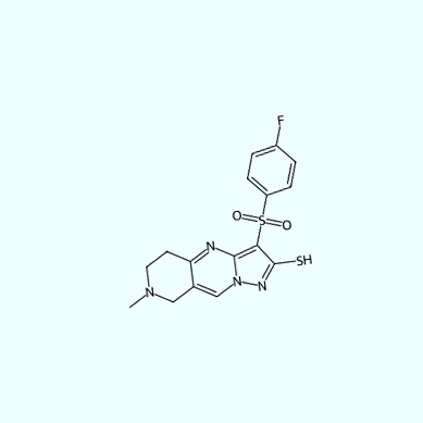 CN1CCc2nc3c(S(=O)(=O)c4ccc(F)cc4)c(S)nn3cc2C1